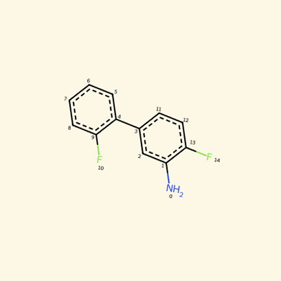 Nc1cc(-c2ccccc2F)ccc1F